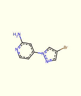 Nc1cc(-n2cc(Br)cn2)ccn1